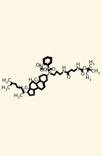 CC(C)CCCC(C)[C@H]1CCC2C3CC=C4C[C@@H](N(CCCNC(=O)CCNC(=O)OC(C)(C)C)S(=O)(=O)c5ccccc5[N+](=O)[O-])CC[C@]4(C)C3CC[C@@]21C